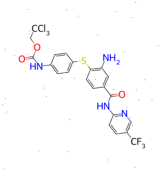 Nc1cc(C(=O)Nc2ccc(C(F)(F)F)cn2)ccc1Sc1ccc(NC(=O)OCC(Cl)(Cl)Cl)cc1